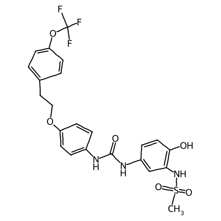 CS(=O)(=O)Nc1cc(NC(=O)Nc2ccc(OCCc3ccc(OC(F)(F)F)cc3)cc2)ccc1O